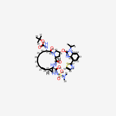 CC(C)n1c(O[C@@H]2C[C@H]3C(=O)N[C@]4(C(=O)NS(=O)(=O)N(C)C)C[C@H]4/C=C\CCCCC[C@H](NC(=O)OC(C)(C)C)C(=O)N3C2)nc2c(-c3nccs3)cccc21